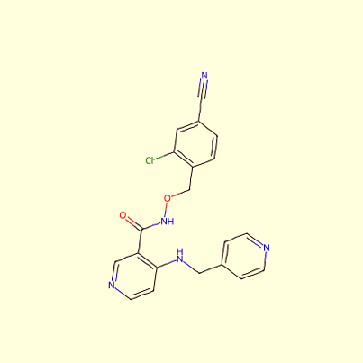 N#Cc1ccc(CONC(=O)c2cnccc2NCc2ccncc2)c(Cl)c1